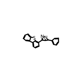 c1ccc(C2C3C(c4cccc5c4sc4ccccc45)=NN32)cc1